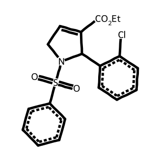 CCOC(=O)C1=CCN(S(=O)(=O)c2ccccc2)C1c1ccccc1Cl